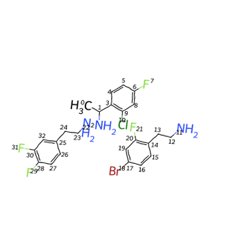 CC(N)c1ccc(F)cc1Cl.NCCc1ccc(Br)cc1F.NCCc1ccc(F)c(F)c1